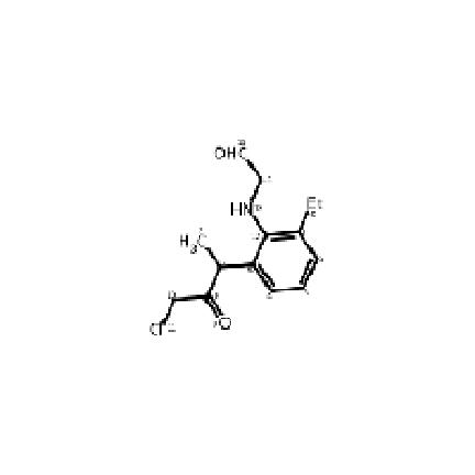 CCc1cccc(C(C)C(=O)CCl)c1NCC=O